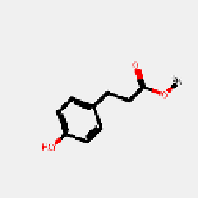 [2H]OC(=O)CCc1ccc(O)cc1